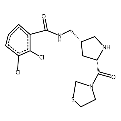 O=C(NC[C@@H]1CN[C@H](C(=O)N2CCSC2)C1)c1cccc(Cl)c1Cl